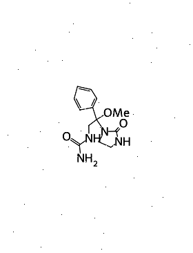 COC(CNC(N)=O)(c1ccccc1)N1CCNC1=O